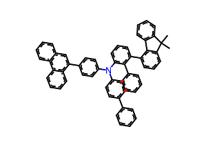 CC1(C)c2ccccc2-c2c(-c3cccc(N(c4ccc(-c5ccccc5)cc4)c4ccc(-c5cc6ccccc6c6ccccc56)cc4)c3-c3ccccc3)cccc21